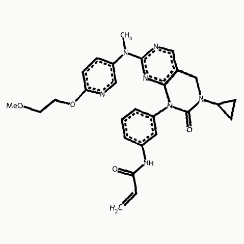 C=CC(=O)Nc1cccc(N2C(=O)N(C3CC3)Cc3cnc(N(C)c4ccc(OCCOC)nc4)nc32)c1